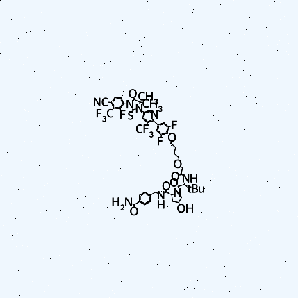 CC(C)(C)[C@H](NC(=O)COCCCCOc1c(F)cc(-c2ncc(N3C(=S)N(c4ccc(C#N)c(C(F)(F)F)c4F)C(=O)C3(C)C)cc2C(F)(F)F)cc1F)C(=O)N1C[C@H](O)C[C@H]1C(=O)NCc1ccc(C(N)=O)cc1